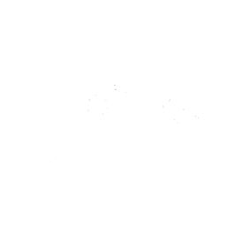 COc1cc(C(=O)N2CCC(c3cnc(N)cc3OC)CC2)ncc1OCC1CC(C(F)(F)F)C1